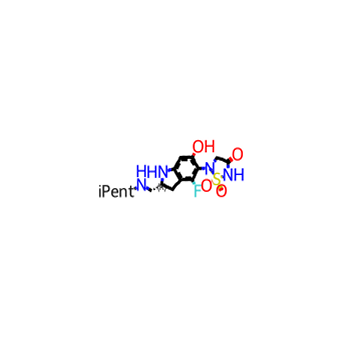 CCCC(C)NC[C@H]1Cc2c(cc(O)c(N3CC(=O)NS3(=O)=O)c2F)N1